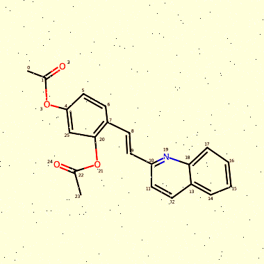 CC(=O)Oc1ccc(C=Cc2ccc3ccccc3n2)c(OC(C)=O)c1